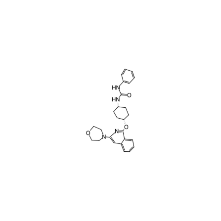 O=C(Nc1ccccc1)N[C@H]1CC[C@@H](Oc2nc(N3CCOCC3)cc3ccccc23)CC1